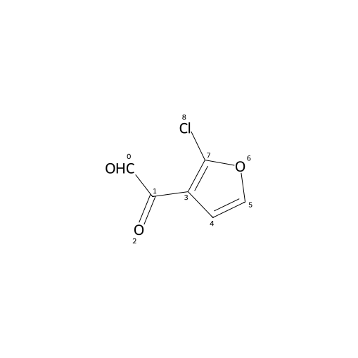 O=CC(=O)c1ccoc1Cl